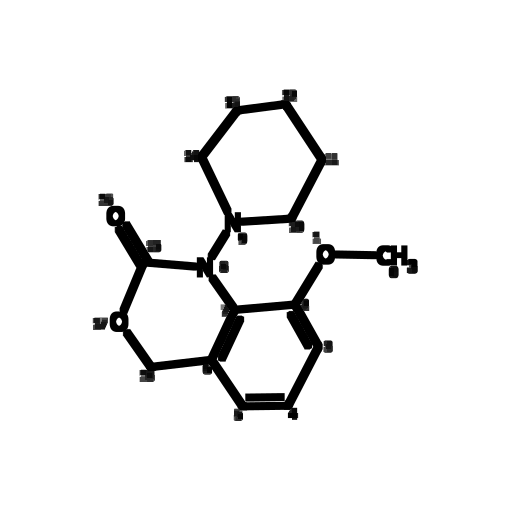 COc1cccc2c1N(N1CCCCC1)C(=O)OC2